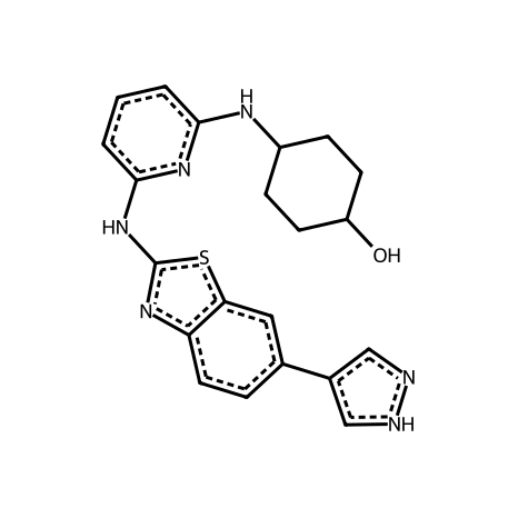 OC1CCC(Nc2cccc(Nc3nc4ccc(-c5cn[nH]c5)cc4s3)n2)CC1